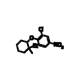 CCC1(C)CCCCC1Oc1ccc([N+](=O)[O-])cc1Cl